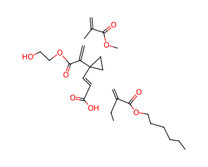 C=C(C(=O)OCCO)C1(C=CC(=O)O)CC1.C=C(C)C(=O)OC.C=C(CC)C(=O)OCCCCCC